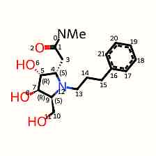 CNC(=O)C[C@H]1[C@@H](O)[C@H](O)[C@H](CO)N1CCCc1ccccc1